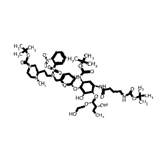 CC[C@@H](O)[C@H](OCCO)O[C@@H]1[C@@H](O)[C@H](O[C@@H]2CCC=C(CN(CCC3CN(C(=O)OC(C)(C)C)CCN3C)S(=O)(=O)c3ccccc3[N+](=O)[O-])O2)[C@@H](NC(=O)OC(C)(C)C)C[C@H]1NC(=O)CCCNC(=O)OC(C)(C)C